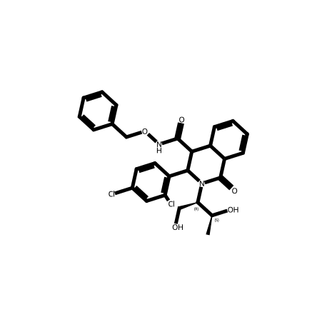 C[C@H](O)[C@@H](CO)N1C(=O)C2C=CC=CC2C(C(=O)NOCc2ccccc2)C1c1ccc(Cl)cc1Cl